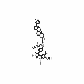 Cc1[nH]nc(C2=CC(C(C)C)C(O)C=C2O)c1-c1ccc(CN(CCNC=O)CCOC2CCC3(C)C(=CCC4C3CCC3(C)C(c5cccnc5)=CCC43)C2)cc1